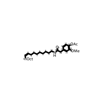 CCCCCCCC/C=C\CCCCCCCCNC(=O)Cc1ccc(OC(C)=O)c(OC)c1